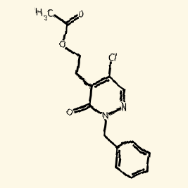 CC(=O)OCCc1c(Cl)cnn(Cc2ccccc2)c1=O